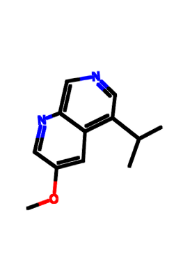 COc1cnc2cncc(C(C)C)c2c1